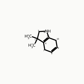 CC1(C)CNC2=C1CC=CC2